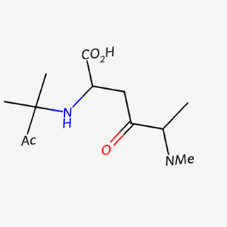 CNC(C)C(=O)CC(NC(C)(C)C(C)=O)C(=O)O